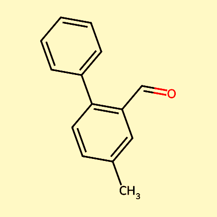 Cc1ccc(-c2ccccc2)c(C=O)c1